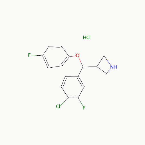 Cl.Fc1ccc(OC(c2ccc(Cl)c(F)c2)C2CNC2)cc1